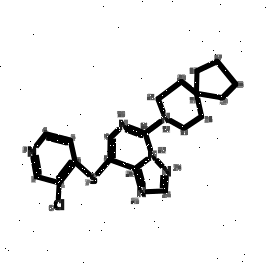 Clc1cnccc1Sc1cnc(N2CCC3(CCCC3)CC2)n2ncnc12